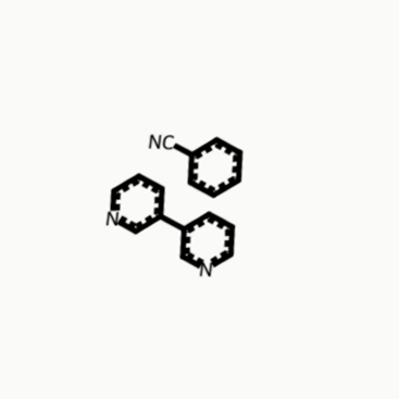 N#Cc1ccccc1.c1cncc(-c2cccnc2)c1